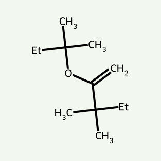 C=C(OC(C)(C)CC)C(C)(C)CC